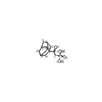 O=C(CP(=O)(O)O)C12CC3CC(CC(C3)C1)C2